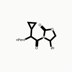 CCCCCC(C(=O)N1C(=O)OCC1C(C)C)C1CC1